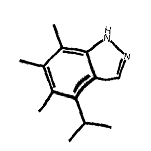 Cc1c(C)c(C)c2[nH]ncc2c1C(C)C